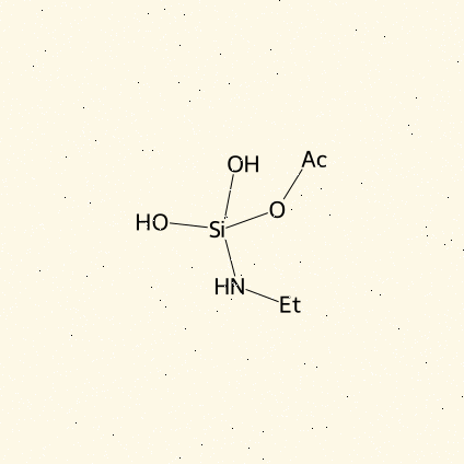 CCN[Si](O)(O)OC(C)=O